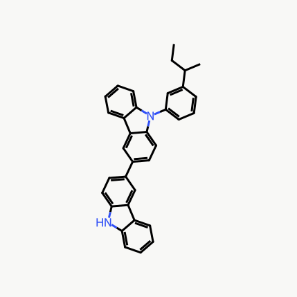 CCC(C)c1cccc(-n2c3ccccc3c3cc(-c4ccc5[nH]c6ccccc6c5c4)ccc32)c1